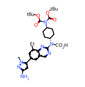 CCc1cc(-c2cc(N)nn2C)cc2cnc(N(C(=O)O)[C@H]3CC[C@H](N(C(=O)OC(C)(C)C)C(=O)OC(C)(C)C)CC3)nc12